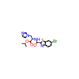 CC(C)OC(=O)C(Cn1ccnc1)NC(=O)c1nc2ccc(Br)cc2s1